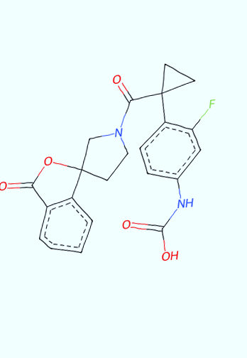 O=C(O)Nc1ccc(C2(C(=O)N3CCC4(C3)OC(=O)c3ccccc34)CC2)c(F)c1